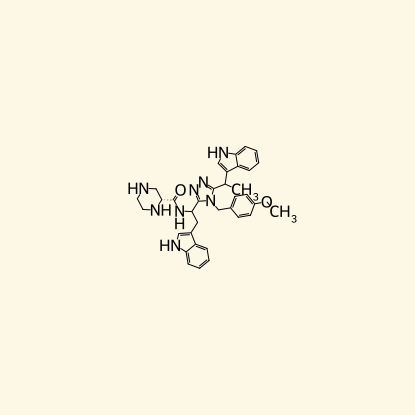 COc1ccc(Cn2c(C(Cc3c[nH]c4ccccc34)NC(=O)[C@H]3CNCCN3)nnc2C(C)c2c[nH]c3ccccc23)cc1